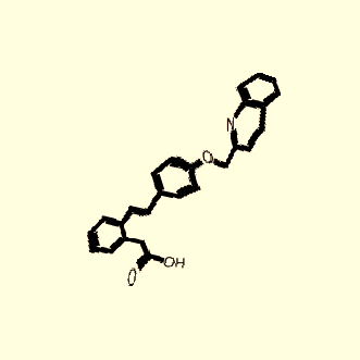 O=C(O)Cc1ccccc1CCc1ccc(OCc2ccc3ccccc3n2)cc1